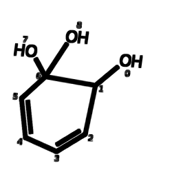 OC1C=CC=CC1(O)O